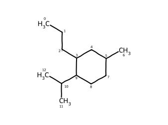 CC[CH]C1CC(C)CCC1C(C)C